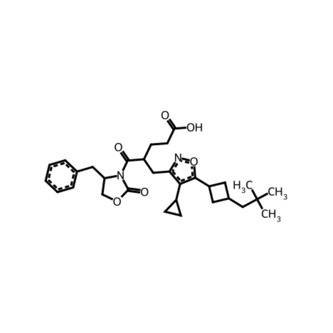 CC(C)(C)CC1CC(c2onc(CC(CCC(=O)O)C(=O)N3C(=O)OCC3Cc3ccccc3)c2C2CC2)C1